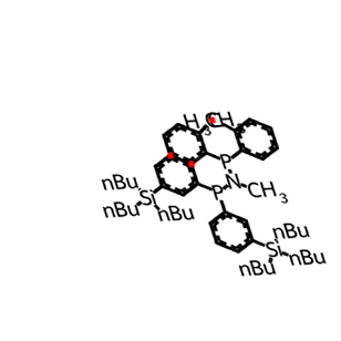 CCCC[Si](CCCC)(CCCC)c1cccc(P(c2cccc([Si](CCCC)(CCCC)CCCC)c2)N(C)P(c2ccccc2C)c2ccccc2C)c1